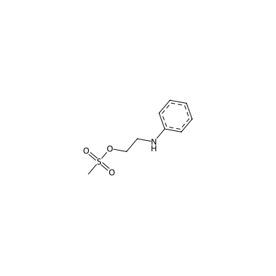 CS(=O)(=O)OCCNc1ccccc1